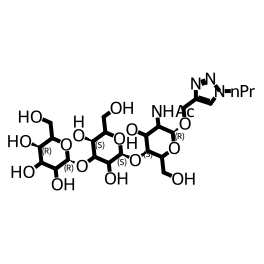 CCCn1cc(CO[C@@H]2OC(CO)[C@@H](O[C@@H]3OC(CO)[C@H](O)C(O[C@H]4OC(CO)[C@H](O)C(O)C4O)C3O)C(O)C2NC(C)=O)nn1